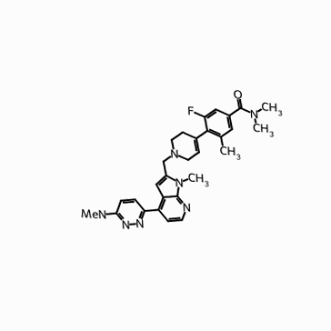 CNc1ccc(-c2ccnc3c2cc(CN2CC=C(c4c(C)cc(C(=O)N(C)C)cc4F)CC2)n3C)nn1